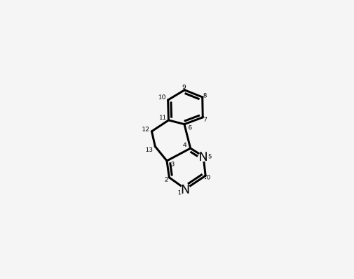 [c]1ncc2c(n1)-c1ccccc1CC2